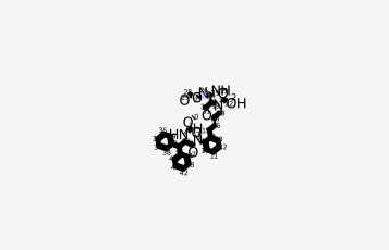 COC(=O)N[C@H](C(=O)Nc1ccccc1CC[C@@H]1CN(C(=O)O)[C@H](/C(N)=N\OC=O)CO1)C(c1ccccc1)c1ccccc1